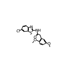 COc1ccc(OC)c(CC(=O)Nc2nc3ccc(Cl)cc3s2)c1